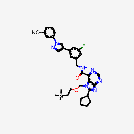 C[Si](C)(C)CCOCn1c(C2CCCC2)nc2ncnc(C(=O)NCc3cc(F)cc(-c4cnn(-c5cccc(C#N)c5)c4)c3)c21